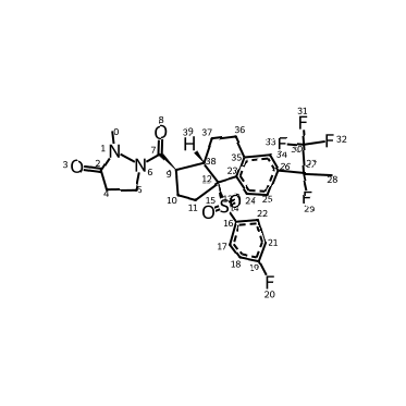 CN1C(=O)CCN1C(=O)[C@@H]1CC[C@@]2(S(=O)(=O)c3ccc(F)cc3)c3ccc(C(C)(F)C(F)(F)F)cc3CC[C@@H]12